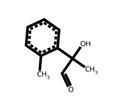 Cc1ccccc1C(C)(O)C=O